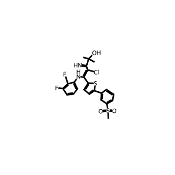 CC(C)(O)C(=N)/C(Cl)=C(\Nc1cccc(F)c1F)c1ccc(-c2cccc(S(C)(=O)=O)c2)s1